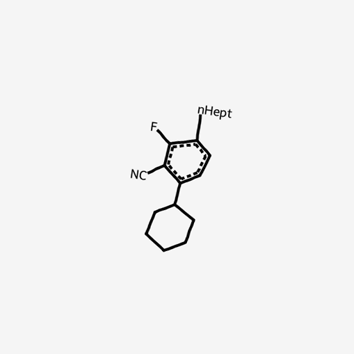 CCCCCCCc1ccc(C2CCCCC2)c(C#N)c1F